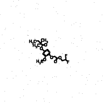 CCC(C)(C)C(=O)Oc1ccc(OCC(=O)OCC(F)F)c(OC)c1